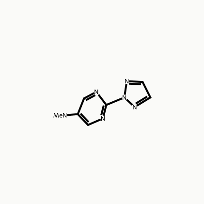 CNc1cnc(-n2nccn2)nc1